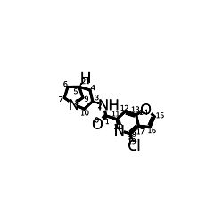 O=C(N[C@@H]1C[C@@H]2CCN(C2)C1)c1cc2occc2c(Cl)n1